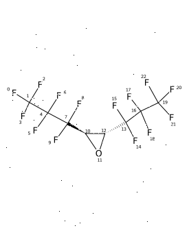 FC(F)(F)C(F)(F)C(F)(F)[C@@H]1O[C@H]1C(F)(F)C(F)(F)C(F)(F)F